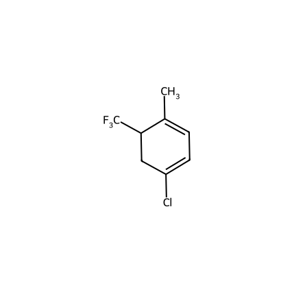 CC1=CC=C(Cl)CC1C(F)(F)F